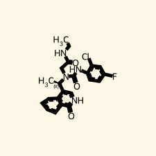 CCNC(=O)CN(C(=O)Nc1ccc(F)cc1Cl)[C@H](C)c1c[nH]c(=O)c2ccccc12